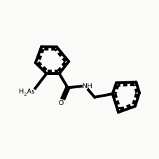 O=C(NCc1ccccc1)c1ccccc1[AsH2]